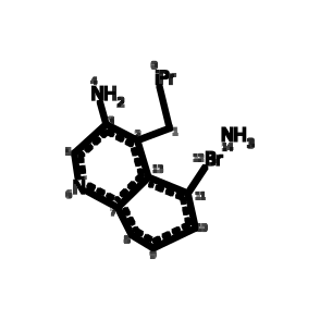 CC(C)Cc1c(N)cnc2cccc(Br)c12.N